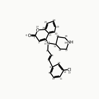 O=c1cc(N(CC=Cc2cccc(Cl)c2)C2CCNCC2)c2ccccc2o1